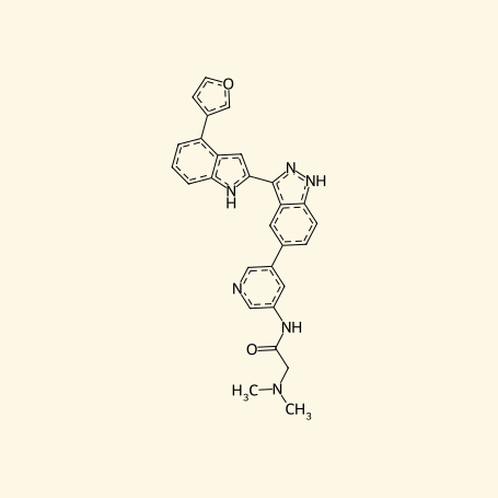 CN(C)CC(=O)Nc1cncc(-c2ccc3[nH]nc(-c4cc5c(-c6ccoc6)cccc5[nH]4)c3c2)c1